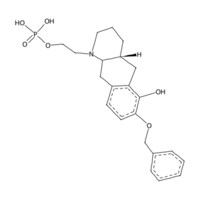 O=P(O)(O)OCCN1CCC[C@@H]2Cc3c(ccc(OCc4ccccc4)c3O)CC21